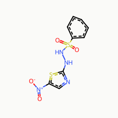 O=[N+]([O-])c1cnc(NNS(=O)(=O)c2ccccc2)s1